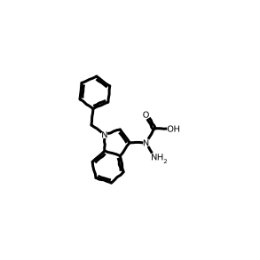 NN(C(=O)O)c1cn(Cc2ccccc2)c2ccccc12